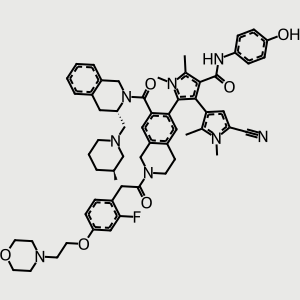 Cc1c(-c2c(C(=O)Nc3ccc(O)cc3)c(C)n(C)c2-c2cc3c(cc2C(=O)N2Cc4ccccc4C[C@H]2CN2CCC[C@H](C)C2)CN(C(=O)Cc2ccc(OCCN4CCOCC4)cc2F)CC3)cc(C#N)n1C